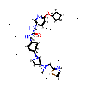 CN(Cc1nccs1)C1CCN(c2ccc(NC(=O)Nc3ccc(OC4CCCC4)nc3)cc2)C1